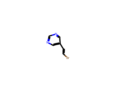 BrC=Cc1cncnc1